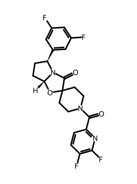 O=C(c1ccc(F)c(F)n1)N1CCC2(CC1)O[C@@H]1CC[C@@H](c3cc(F)cc(F)c3)N1C2=O